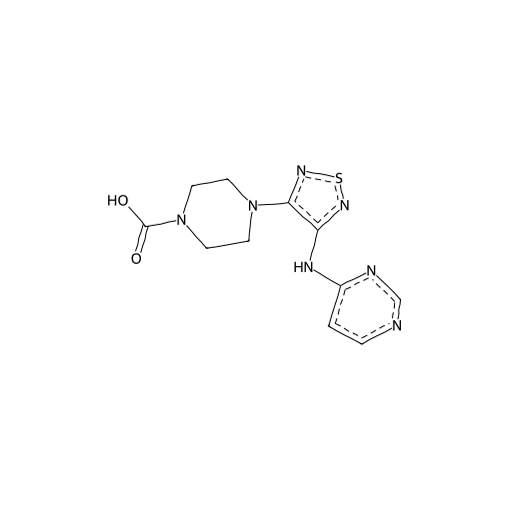 O=C(O)N1CCN(c2nsnc2Nc2ccncn2)CC1